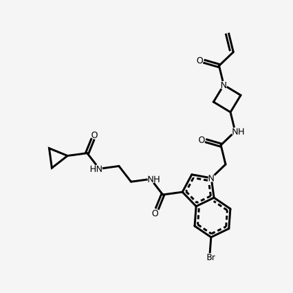 C=CC(=O)N1CC(NC(=O)Cn2cc(C(=O)NCCNC(=O)C3CC3)c3cc(Br)ccc32)C1